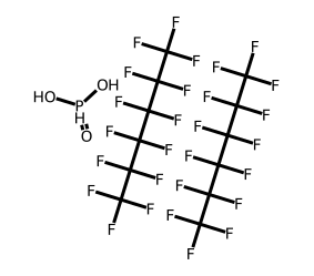 FC(F)(F)C(F)(F)C(F)(F)C(F)(F)C(F)(F)C(F)(F)F.FC(F)(F)C(F)(F)C(F)(F)C(F)(F)C(F)(F)C(F)(F)F.O=[PH](O)O